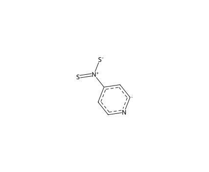 S=[N+]([S-])c1c[c]ncc1